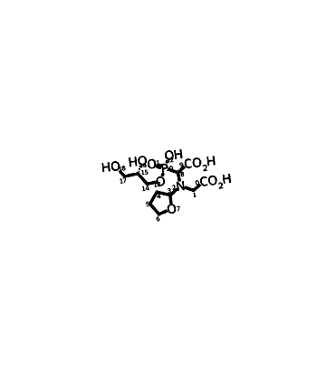 O=C(O)CN(C1CCCO1)C(C(=O)O)P(=O)(O)OC[C@@H](O)CO